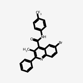 Cc1c(-c2ccccc2)nc2ccc(Br)cc2c1C(=O)Nc1[c]cc(C(F)(F)F)cc1